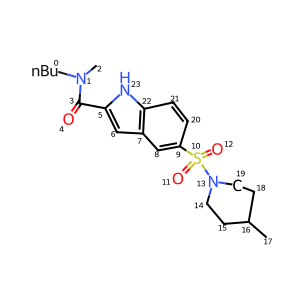 CCCCN(C)C(=O)c1cc2cc(S(=O)(=O)N3CCC(C)CC3)ccc2[nH]1